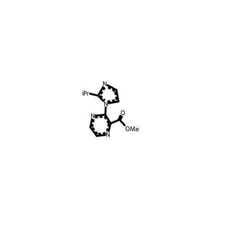 COC(=O)c1nccnc1-n1ccnc1C(C)C